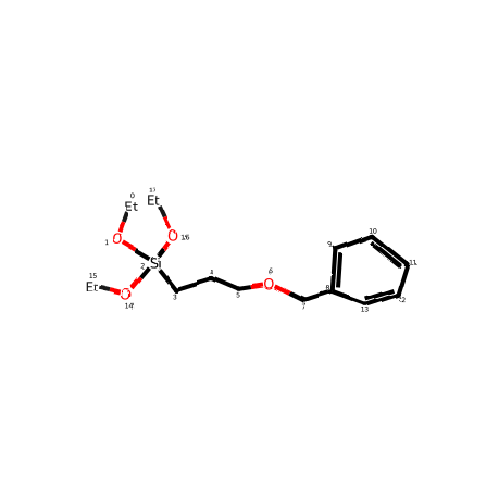 CCO[Si](CCCOCc1ccccc1)(OCC)OCC